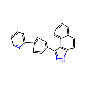 c1ccc(-c2ccc(-c3n[nH]c4ccc5ccccc5c34)cc2)nc1